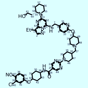 CCc1cnn2c(NCc3ccc(OC4CCN(CC5CCN(c6ncc(C(=O)NC7CCC(Oc8ccc(C#N)c(Cl)c8)CC7)cn6)CC5)CC4)nc3)cc(N3CCCC[C@H]3CCO)nc12